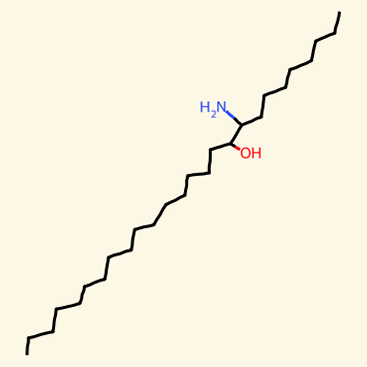 CCCCCCCCCCCCCCCCC(O)C(N)CCCCCCCC